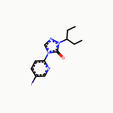 CCC(CC)n1ncn(-c2ccc(I)cn2)c1=O